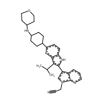 CC(C)c1c(-c2cn(CC#N)c3ncccc23)[nH]c2ccc(C3CCC(NC4CCOCC4)CC3)nc12